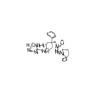 CN/C(=N\C#N)N[C@H]1CC[C@](CNC(=O)[C@@H]2CCC(=O)N2)(c2ccccc2)CC1